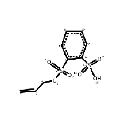 C=CCOS(=O)(=O)c1ccccc1S(=O)(=O)O